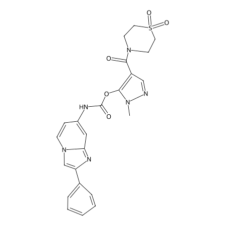 Cn1ncc(C(=O)N2CCS(=O)(=O)CC2)c1OC(=O)Nc1ccn2cc(-c3ccccc3)nc2c1